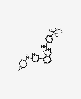 CN1CCC(N(C)c2ccc(-c3cccc4cnc(Nc5ccc(S(N)(=O)=O)cc5)nc34)cn2)CC1